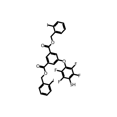 O=C(OCc1ccccc1I)c1cc(Oc2c(F)c(F)c(S)c(F)c2F)cc(C(=O)OCc2ccccc2I)c1